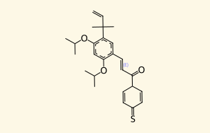 C=CC(C)(C)c1cc(/C=C/C(=O)C2C=CC(=S)C=C2)c(OC(C)C)cc1OC(C)C